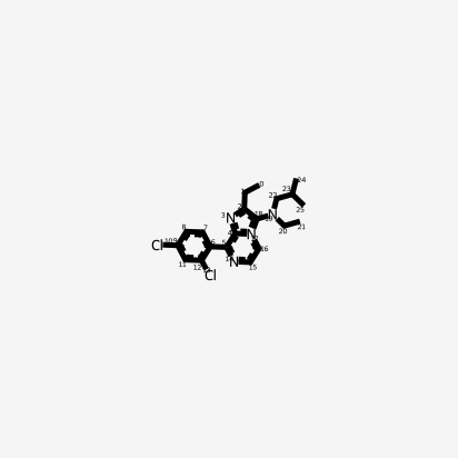 CCc1nc2c(-c3ccc(Cl)cc3Cl)nccn2c1N(CC)CC(C)C